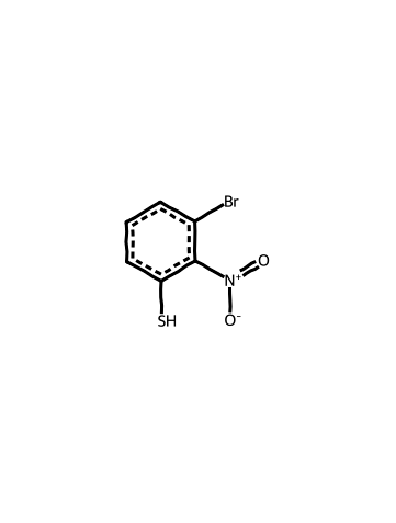 O=[N+]([O-])c1c(S)cccc1Br